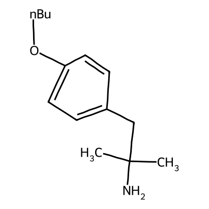 CCCCOc1ccc(CC(C)(C)N)cc1